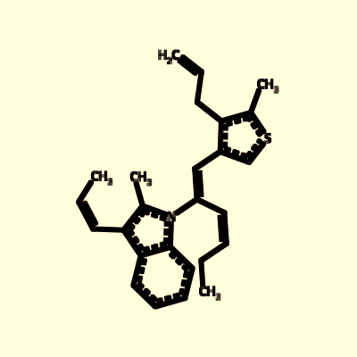 C=CCc1c(/C=C(\C=C/CC)n2c(C)c(/C=C\C)c3ccccc32)csc1C